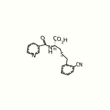 N#Cc1ccccc1CSC[C@H](NC(=O)c1cccnc1)C(=O)O